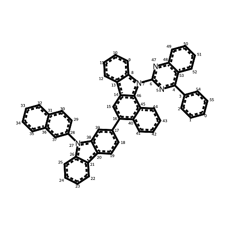 c1ccc(-c2nc(-n3c4ccccc4c4cc(-c5ccc6c7ccccc7n(-c7ccc8ccccc8c7)c6c5)c5ccccc5c43)nc3ccccc23)cc1